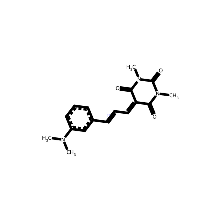 CN1C(=O)C(=C/C=C/c2cccc(N(C)C)c2)C(=O)N(C)C1=O